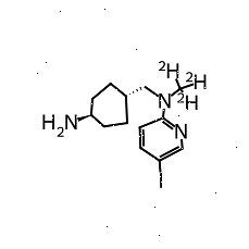 [2H]C([2H])([2H])N(C[C@H]1CC[C@H](N)CC1)c1ccc(I)cn1